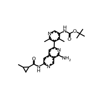 Cc1ncc(NC(=O)OC(C)(C)C)c(C)c1-c1cc2cc(NC(=O)C3CC3C)ncc2c(N)n1